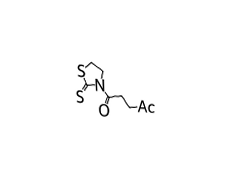 CC(=O)CCC(=O)N1CCSC1=S